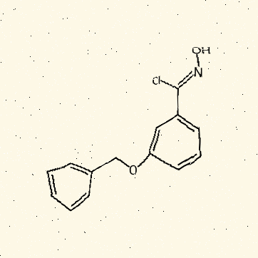 ON=C(Cl)c1cccc(OCc2ccccc2)c1